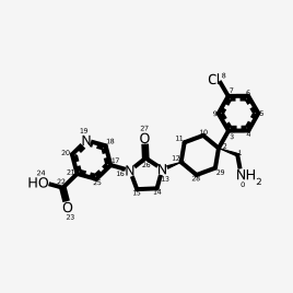 NC[C@]1(c2cccc(Cl)c2)CC[C@H](N2CCN(c3cncc(C(=O)O)c3)C2=O)CC1